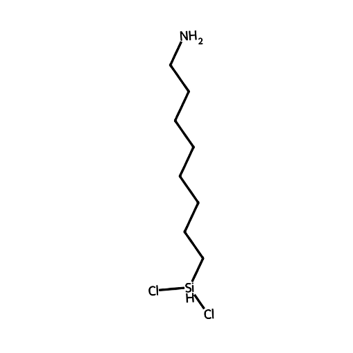 NCCCCCCCC[SiH](Cl)Cl